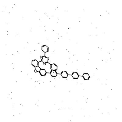 C1=CCC(c2nc(-c3ccccc3)nc(-c3cccc4oc5ccc(-c6ccc(-c7ccc(-c8ccc(-c9ccccc9)cc8)cc7)cc6)cc5c34)n2)C=C1